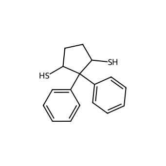 SC1CCC(S)C1(c1ccccc1)c1ccccc1